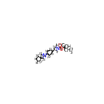 CC(C)(C)OC(=O)N1CC(c2ccc(N3CC4(CCCC4)C3)cc2)C1